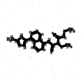 CCOC(=O)C(CC)C(=O)Oc1cccc2c(-c3ncc(C)o3)cccc12